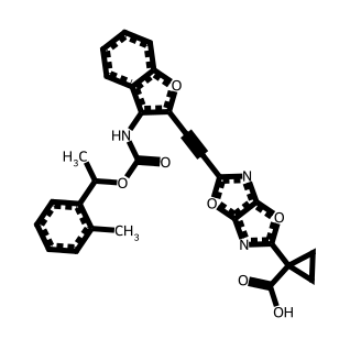 Cc1ccccc1C(C)OC(=O)Nc1c(C#Cc2nc3oc(C4(C(=O)O)CC4)nc3o2)oc2ccccc12